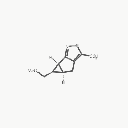 COC[C@@H]1[C@@H]2Cc3c(n[nH]c3C(=O)O)[C@H]12